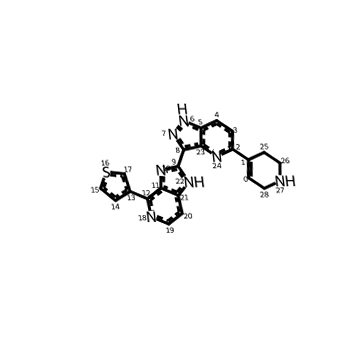 C1=C(c2ccc3[nH]nc(-c4nc5c(-c6ccsc6)nccc5[nH]4)c3n2)CCNC1